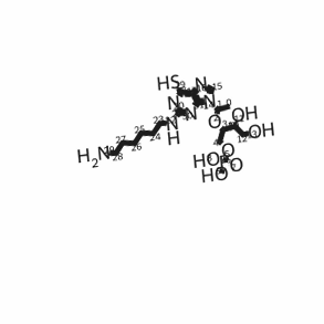 CC(OC(COP(=O)(O)O)[C@H](O)CO)n1cnc2c(S)nc(NCCCCCCN)nc21